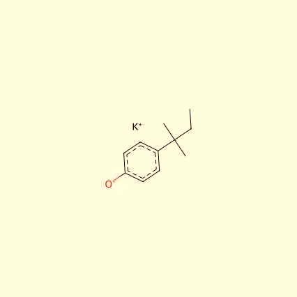 CCC(C)(C)c1ccc([O-])cc1.[K+]